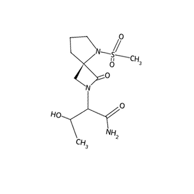 CC(O)C(C(N)=O)N1C[C@]2(CCCN2S(C)(=O)=O)C1=O